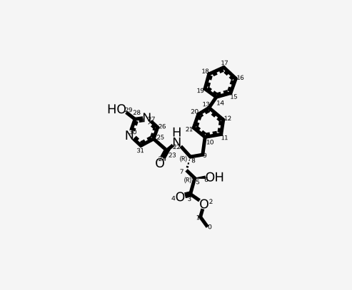 CCOC(=O)[C@H](O)C[C@@H](Cc1ccc(-c2ccccc2)cc1)NC(=O)c1cnc(O)nc1